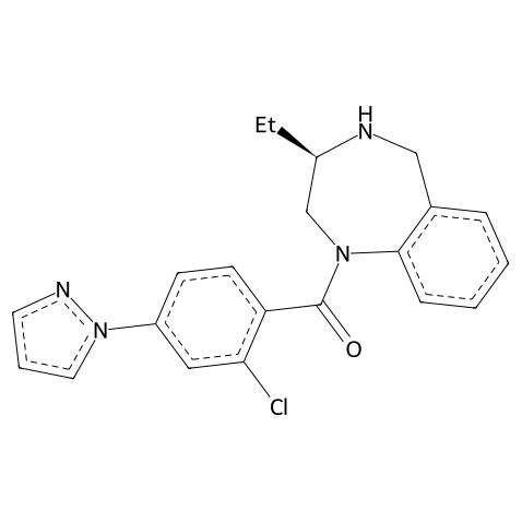 CC[C@@H]1CN(C(=O)c2ccc(-n3cccn3)cc2Cl)c2ccccc2CN1